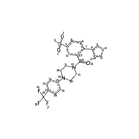 CS(=O)(=O)c1ccc(-c2cccs2)c(C(=O)N2CCN(c3ccc(C(F)(F)F)cc3)CC2)c1